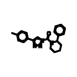 Cc1ccc(-c2cn(C(=O)N3CCCCC3c3ccccc3)nn2)cc1